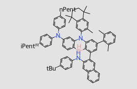 CCCCCc1ccc(N(c2ccc([C@@H](C)CCC)cc2)c2ccc3c(c2)N(c2cc4c(cc2C)C(C)(C)CCC4(C)C)c2cc(-c4c(C)cccc4C)cc(-c4cc5ccccc5cc4Nc4ccc(C(C)(C)C)cc4)c2B3)cc1